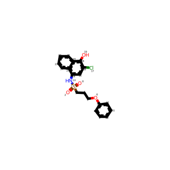 O=S(=O)(CCCOc1ccccc1)Nc1cc(Cl)c(O)c2ccccc12